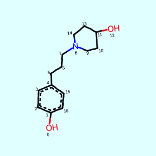 Oc1ccc(CCCN2CCC(O)CC2)cc1